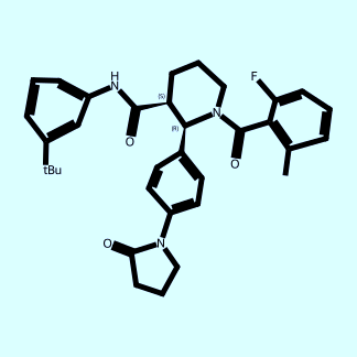 Cc1cccc(F)c1C(=O)N1CCC[C@H](C(=O)Nc2cccc(C(C)(C)C)c2)[C@@H]1c1ccc(N2CCCC2=O)cc1